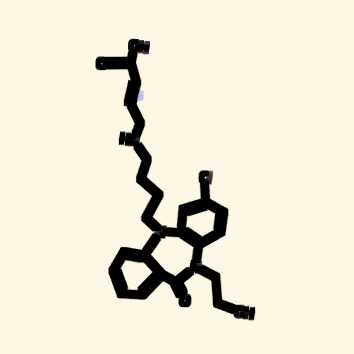 O=C(O)/C=C/CNCCCCN1c2ccccc2C(=O)N(CCO)c2ccc(Cl)cc21